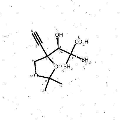 BC(B)(C(=O)O)[C@H](O)C1(C#C)COC(C)(C)O1